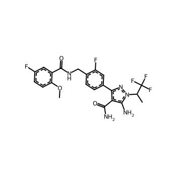 COc1ccc(F)cc1C(=O)NCc1ccc(-c2nn(C(C)C(F)(F)F)c(N)c2C(N)=O)cc1F